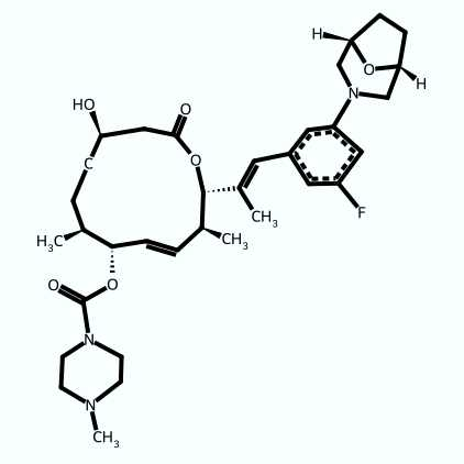 C/C(=C\c1cc(F)cc(N2C[C@H]3CC[C@@H](C2)O3)c1)[C@H]1OC(=O)C[C@H](O)CC[C@H](C)[C@@H](OC(=O)N2CCN(C)CC2)/C=C/[C@@H]1C